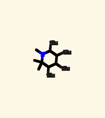 CN1C(C(C)(C)C)C(C(C)(C)C)C(C(C)(C)C)C(C(C)(C)C)C1(C)C